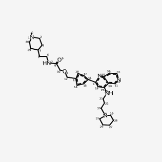 CN1CCC(CCNC(=O)COCc2ccc(-c3cc(NCCCN4CCCCC4)c4cnccc4n3)cc2)CC1